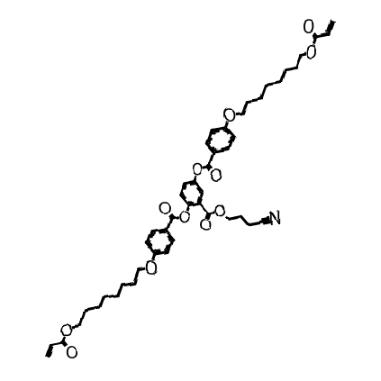 C=CC(=O)OCCCCCCCCOc1ccc(C(=O)Oc2ccc(OC(=O)c3ccc(OCCCCCCCCOC(=O)C=C)cc3)c(C(=O)OCCCC#N)c2)cc1